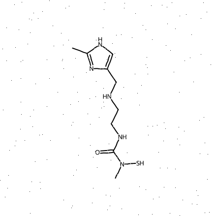 Cc1nc(CNCCNC(=O)N(C)S)c[nH]1